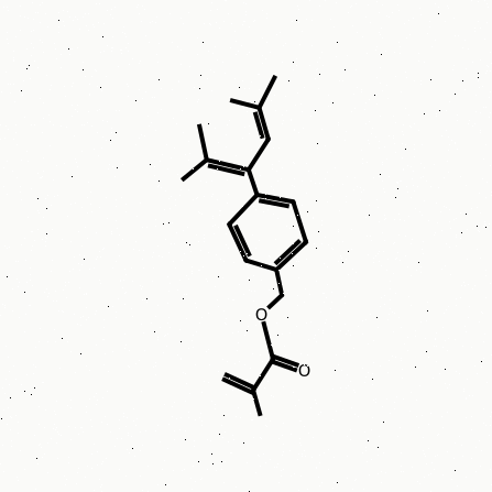 C=C(C)C(=O)OCc1ccc(C(C=C(C)C)=C(C)C)cc1